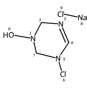 ON1CN=CN(Cl)C1.[Na][Cl]